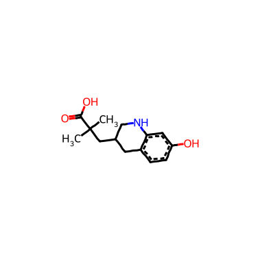 CC(C)(CC1CNc2cc(O)ccc2C1)C(=O)O